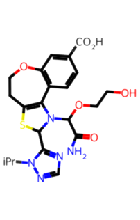 CC(C)n1ncnc1C1SC2=C(c3ccc(C(=O)O)cc3OCC2)N1C(OCCO)C(N)=O